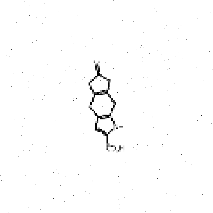 O=C1CC2=C(C1)Cc1[nH]c(C(=O)O)cc1C2